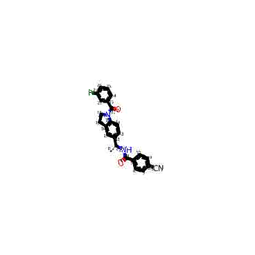 C[C@@H](NC(=O)c1ccc(C#N)cc1)c1ccc2c(c1)CCN2C(=O)c1cccc(F)c1